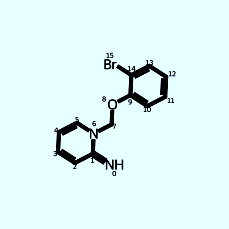 N=c1ccccn1COc1ccccc1Br